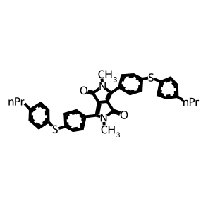 CCCc1ccc(Sc2ccc(C3=C4C(=O)N(C)C(c5ccc(Sc6ccc(CCC)cc6)cc5)=C4C(=O)N3C)cc2)cc1